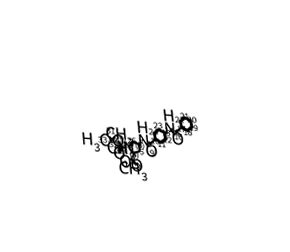 COC(=O)[C@@H]1C[C@H](NC(=O)c2ccc(NC(=O)c3ccccc3)cc2)CN1C(=O)OC(C)(C)C